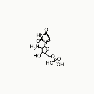 NC1C(O)[C@H](COP(=O)(O)O)O[C@@H]1n1ccc(=O)[nH]c1=O